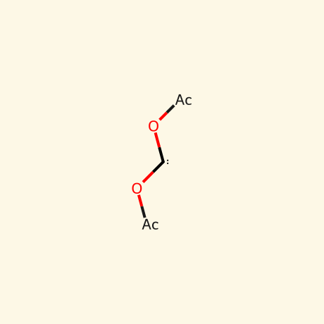 CC(=O)O[C]OC(C)=O